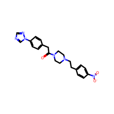 O=C(Cc1ccc(-n2cncn2)cc1)N1CCN(CCc2ccc([N+](=O)[O-])cc2)CC1